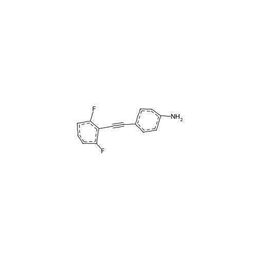 Nc1ccc(C#Cc2c(F)cccc2F)cc1